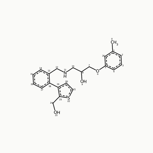 Cc1cccc(OCC(O)CNCc2ccccc2-c2ccsc2CO)c1